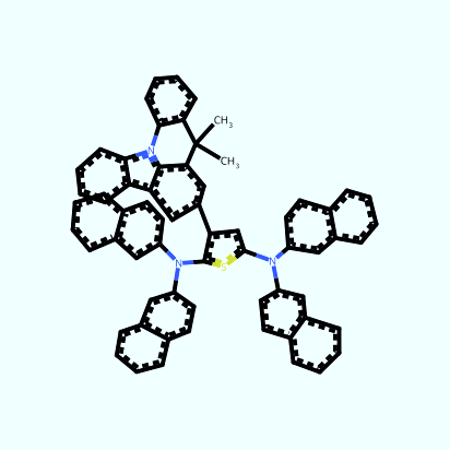 CC1(C)c2ccccc2-n2c3ccccc3c3cc(-c4cc(N(c5ccc6ccccc6c5)c5ccc6ccccc6c5)sc4N(c4ccc5ccccc5c4)c4ccc5ccccc5c4)cc1c32